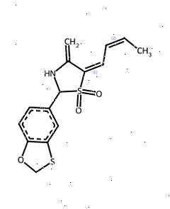 C=C1NC(c2ccc3c(c2)SCO3)S(=O)(=O)/C1=C/C=C\C